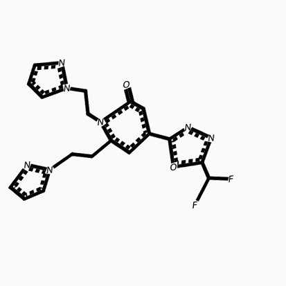 O=c1cc(-c2nnc(C(F)F)o2)cc(CCn2cccn2)n1CCn1cccn1